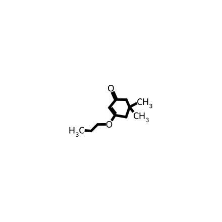 CCCOC1=CC(=O)CC(C)(C)C1